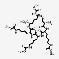 CC(C)(C)OC[C@H](N)C(=O)N[C@@H](CCCCNC(=O)OC(C)(C)C)C(=O)N[C@@H](CCCCNC(=O)OC(C)(C)C)C(=O)N[C@@H](CCCCNC(=O)OC(C)(C)C)C(=O)N[C@@H](CCCCNC(=O)OC(C)(C)C)C(=O)O